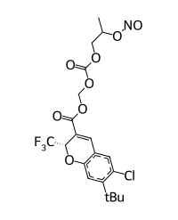 CC(COC(=O)OCOC(=O)C1=Cc2cc(Cl)c(C(C)(C)C)cc2O[C@@H]1C(F)(F)F)ON=O